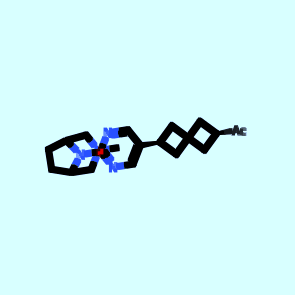 CC(=O)[C@H]1CC2(C1)C[C@H](c1cnc(N3C4CCC3CN(C)C4)nc1)C2